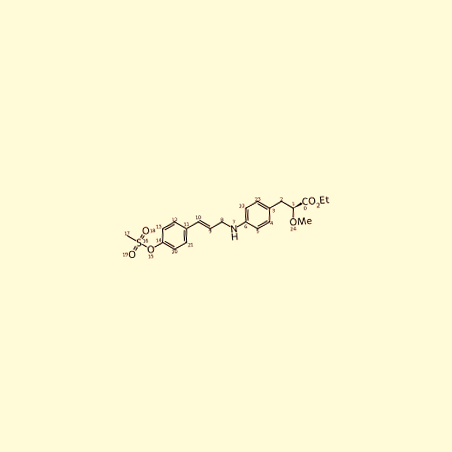 CCOC(=O)[C@H](Cc1ccc(NCC=Cc2ccc(OS(C)(=O)=O)cc2)cc1)OC